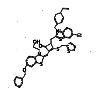 C=CC1C=CC(C[n+]2c(/C=C3/C(=O)C(/C=C4/Sc5cc(OCc6ccccc6)ccc5N4CCO)=C3SCc3cccs3)sc3cc(CC)ccc32)=CC1